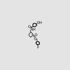 O=C(NCC1CCCN(C(=O)OCc2ccc(F)cc2)C1)c1ccc(O)cc1